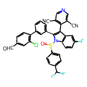 N#Cc1cncc(C#N)c1-c1c(-c2cccc(-c3ccc(C=O)cc3Cl)c2)n([S+]([O-])c2ccc(C(F)F)cc2)c2ccc(F)cc12